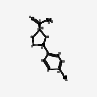 NC(=O)[C@@H]1CCN(c2ccc(Cl)cn2)C1